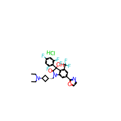 CCN(CC)[C@H]1C[C@H](CN2C(=O)C(O)(c3c(F)cc(F)cc3F)c3c2cc(-c2ncco2)cc3C(F)(F)F)C1.Cl